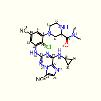 CN(C)C(=O)C1CN(c2cc(C#N)cc(Nc3nc(NC4CC4)c4ncc(C#N)n4n3)c2Cl)CCN1